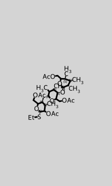 CCS[C@@H]1OC(COC(C)=O)[C@@H](C[C@H]2OC(COC(C)=O)[C@@H](O[C@H]3OC(COC(C)=O)[C@@H](C)[C@H](C)C3C)[C@H](C)C2C)[C@H](C)C1OC(C)=O